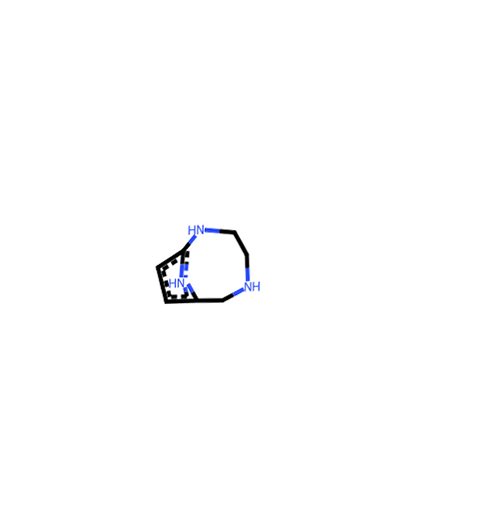 c1cc2[nH]c1CNCCN2